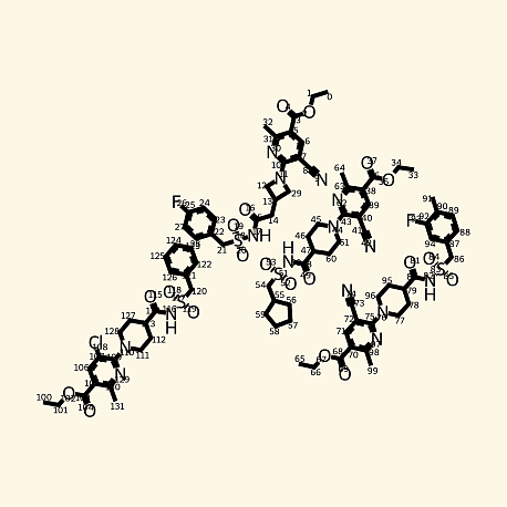 CCOC(=O)c1cc(C#N)c(N2CC(CC(=O)NS(=O)(=O)Cc3ccc(F)cc3)C2)nc1C.CCOC(=O)c1cc(C#N)c(N2CCC(C(=O)NS(=O)(=O)CC3CCCC3)CC2)nc1C.CCOC(=O)c1cc(C#N)c(N2CCC(C(=O)NS(=O)(=O)Cc3ccc(C)c(F)c3)CC2)nc1C.CCOC(=O)c1cc(Cl)c(N2CCC(C(=O)NS(=O)(=O)Cc3ccccc3)CC2)nc1C